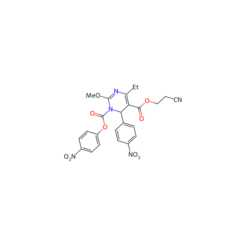 CCC1=C(C(=O)OCCC#N)C(c2ccc([N+](=O)[O-])cc2)N(C(=O)Oc2ccc([N+](=O)[O-])cc2)C(OC)=N1